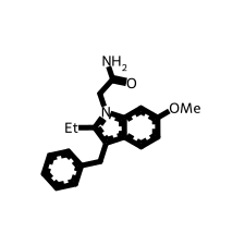 CCc1c(Cc2ccccc2)c2ccc(OC)cc2n1CC(N)=O